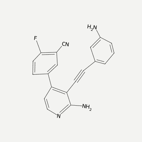 N#Cc1cc(-c2ccnc(N)c2C#Cc2cccc(N)c2)ccc1F